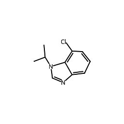 CC(C)n1cnc2cccc(Cl)c21